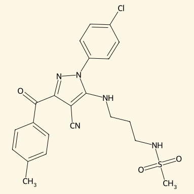 Cc1ccc(C(=O)c2nn(-c3ccc(Cl)cc3)c(NCCCNS(C)(=O)=O)c2C#N)cc1